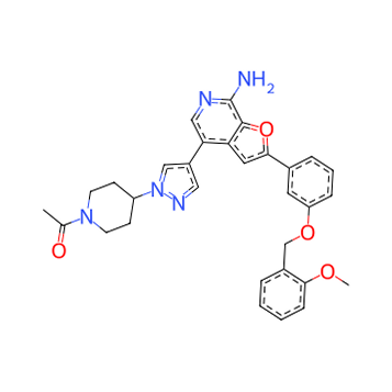 COc1ccccc1COc1cccc(-c2cc3c(-c4cnn(C5CCN(C(C)=O)CC5)c4)cnc(N)c3o2)c1